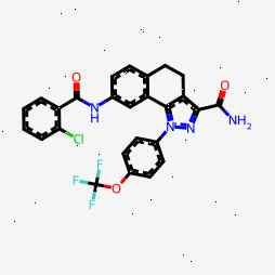 NC(=O)c1nn(-c2ccc(OC(F)(F)F)cc2)c2c1CCc1ccc(NC(=O)c3ccccc3Cl)cc1-2